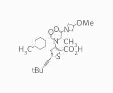 COC1CN(C(=O)[C@H](C)N(c2cc(C#CC(C)(C)C)sc2C(=O)O)C(=O)[C@H]2CC[C@H](C)CC2)C1